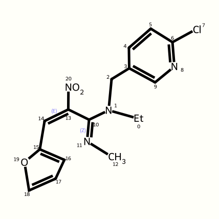 CCN(Cc1ccc(Cl)nc1)C(=N\C)/C(=C\c1ccco1)[N+](=O)[O-]